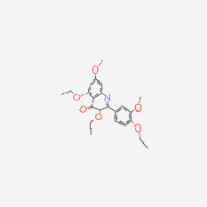 CCOc1ccc(C2=Nc3cc(OC)cc(OCC)c3C(=O)C2OCC)cc1OC